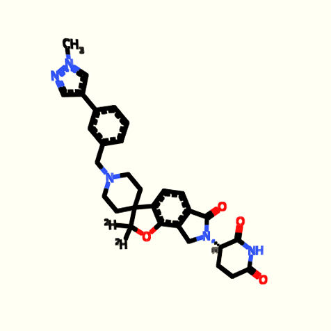 [2H]C1([2H])Oc2c(ccc3c2CN([C@H]2CCC(=O)NC2=O)C3=O)C12CCN(Cc1cccc(-c3cnn(C)c3)c1)CC2